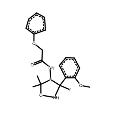 COc1ccccc1C1(I)NOC(C)(C)N1NC(=O)COc1ccccc1